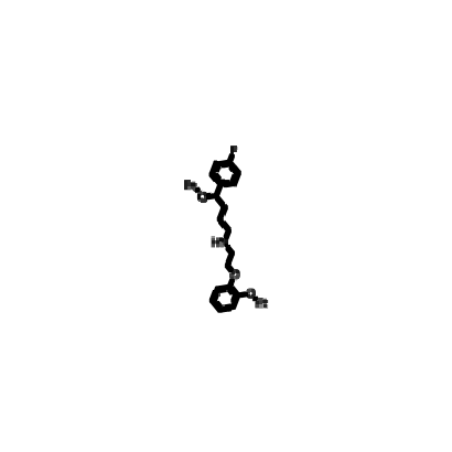 CCOc1ccccc1OCCNCCCC(OCC)c1ccc(F)cc1